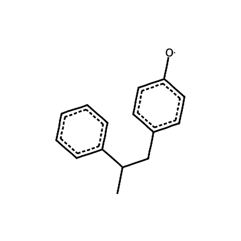 CC(Cc1ccc([O])cc1)c1ccccc1